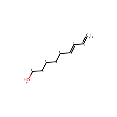 C=CC=CCCCCCO